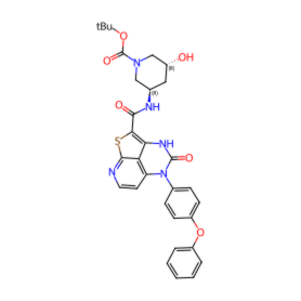 CC(C)(C)OC(=O)N1C[C@H](O)C[C@@H](NC(=O)c2sc3nccc4c3c2NC(=O)N4c2ccc(Oc3ccccc3)cc2)C1